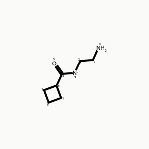 NCC[N]C(=O)C1CCC1